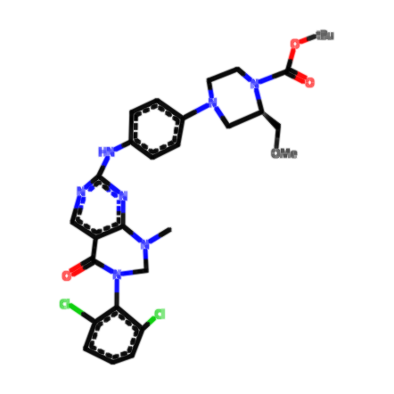 COC[C@H]1CN(c2ccc(Nc3ncc4c(n3)N(C)CN(c3c(Cl)cccc3Cl)C4=O)cc2)CCN1C(=O)OC(C)(C)C